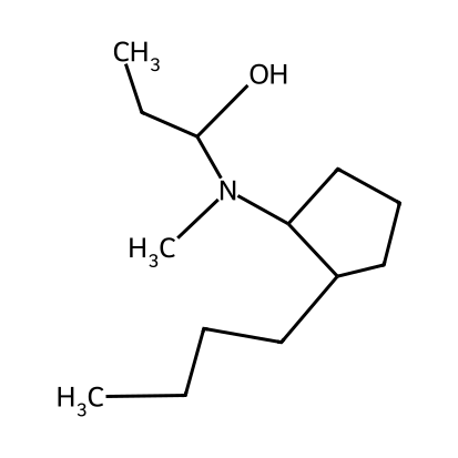 CCCCC1CCCC1N(C)C(O)CC